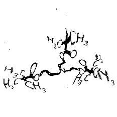 CC(C)(C)C(=O)OCCN(CCOC(=O)C(C)(C)C)CCOC(=O)C(C)(C)I